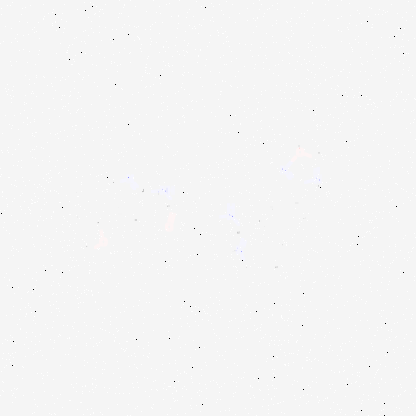 CCOc1cccc2nc(NC(=O)CCNc3nccc4ccc(-c5noc(C)n5)cc34)sc12